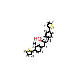 CC(C)(O)C(Cc1ccc(-c2cccs2)cc1)Cc1ccc(-c2cccs2)cc1